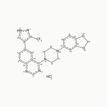 Cl.FC(F)(F)c1n[nH]cc1-c1ccc2ncnc(N3CCN(c4ccc5c(c4)OCO5)CC3)c2c1